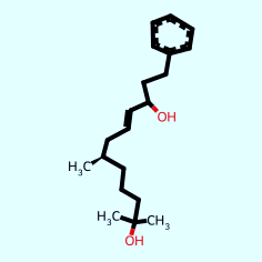 C[C@@H](C/C=C/C(O)CCc1ccccc1)CCCC(C)(C)O